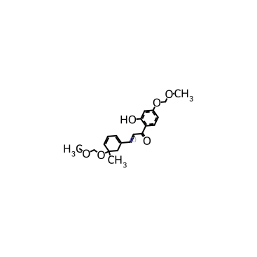 COCOc1ccc(C(=O)/C=C/C2=CC=CC(C)(OCOC)C2)c(O)c1